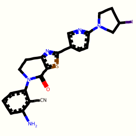 N#Cc1c(N)cccc1N1CCc2nc(-c3ccc(N4CCC(I)C4)nc3)sc2C1=O